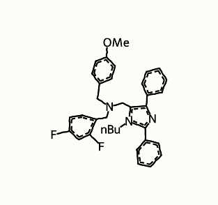 CCCCn1c(-c2ccccc2)nc(-c2ccccc2)c1CN(Cc1ccc(OC)cc1)Cc1ccc(F)cc1F